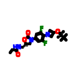 CCC(=O)NC[C@H]1CN(c2cc(F)c(N3CC(O[Si](C)(C)C(C)(C)C)C3)c(F)c2)C(=O)O1